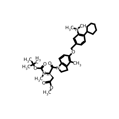 COC(=O)C[C@H](C(=O)N1CCc2c1ccc(OCc1ccc(C3CCCCC3)c(N(C)C)c1)c2C)N(C)C(=O)OC(C)(C)C